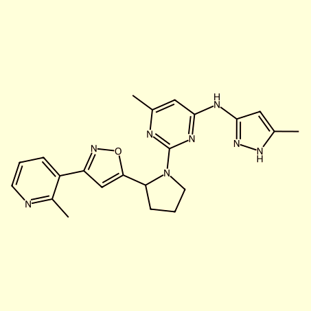 Cc1cc(Nc2cc(C)[nH]n2)nc(N2CCCC2c2cc(-c3cccnc3C)no2)n1